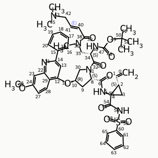 C=C[C@@H]1C[C@]1(NC(=O)[C@@H]1C[C@@H](Oc2cc(-c3ccccc3)nc3cc(OC)ccc23)CN1C(=O)[C@H](CN(C)C(=O)/C=C/CN(C)C)NC(=O)OC(C)(C)C)C(=O)NS(=O)(=O)c1ccccc1